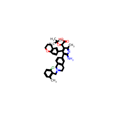 Cc1cccc(Cl)c1CN1CCc2cc(-c3c(N)nc(C)c(C(OC(C)(C)C)C(=O)O)c3-c3ccc4c(c3)CCCO4)ccc2C1